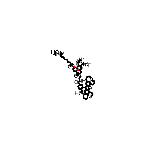 [N-]=[N+]=Nc1cc(CN(CCNC(=O)c2ccc(C(=O)O)c(C3=c4cc5c6c(c4Oc4c3cc3c7c4CCCN7CCCC3)CCC[N+]=6CCCC5)c2)C(=O)c2ccc(NC(=O)CCCCCCC(=O)NO)cc2)cc(F)c1N=[N+]=[N-]